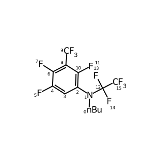 CCCCN(c1cc(F)c(F)c(C(F)(F)F)c1F)C(F)(F)C(F)(F)F